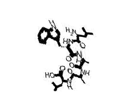 CC(C)C[C@H](NC(=O)[C@H](C)NC(=O)[C@H](C)NC(=O)[C@H](Cc1c[nH]c2ccccc12)NC(=O)[C@@H](N)CC(C)C)C(=O)O